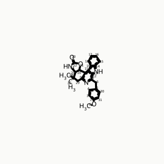 COc1ccc(Cc2nc3c(c4c2[nH]c2ccccc24)C2OC(=O)NC2C(C)(C)C3)cc1